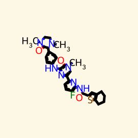 CN1CCN(C)C(c2ccc(Nc3nc(-c4ccc(F)c(NC(=O)c5cc6c(s5)CCCC6)n4)cn(C)c3=O)cc2)C1=O